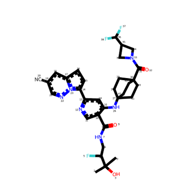 CC(C)(O)C(F)CNC(=O)c1cnc(-c2ccc3cc(C#N)cnn23)cc1NC12CCC(C(=O)N3CC(C(F)F)C3)(CC1)CC2